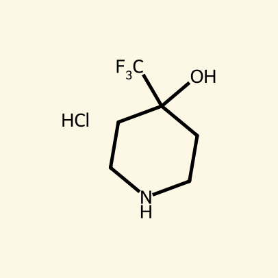 Cl.OC1(C(F)(F)F)CCNCC1